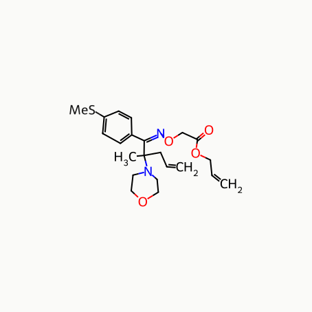 C=CCOC(=O)CON=C(c1ccc(SC)cc1)C(C)(CC=C)N1CCOCC1